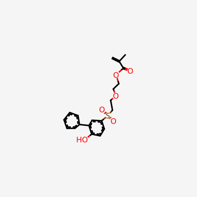 C=C(C)C(=O)OCCOCCS(=O)(=O)c1ccc(O)c(-c2ccccc2)c1